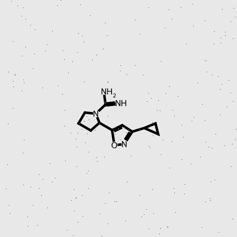 N=C(N)N1CCCC1c1cc(C2CC2)no1